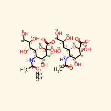 CC(=O)N[C@H]1[C@H]([C@H](O)[C@H](O)CO)O[C@](O)(C(=O)[O-])C[C@@H]1O.CC(=O)N[C@H]1[C@H]([C@H](O)[C@H](O)CO)O[C@](O)(C(=O)[O-])C[C@@H]1O.[Na+].[Na+]